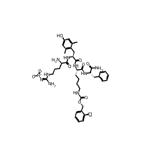 Cc1cc(O)cc(C)c1C[C@H](NC(=O)[C@H](N)CCCN/C(N)=N\[N+](=O)[O-])C(=O)N[C@@H](CCCCNC(=O)OCc1ccccc1Cl)C(=O)N[C@@H](Cc1ccccc1)C(N)=O